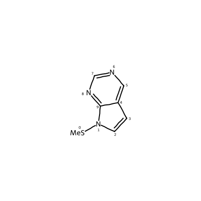 CSn1ccc2cncnc21